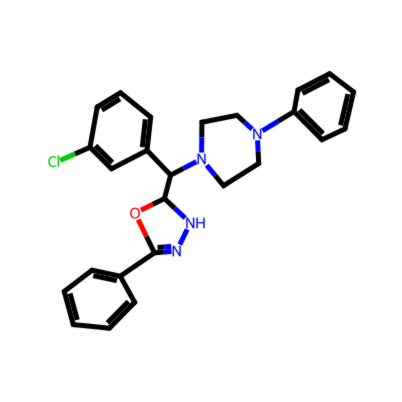 Clc1cccc(C(C2NN=C(c3ccccc3)O2)N2CCN(c3ccccc3)CC2)c1